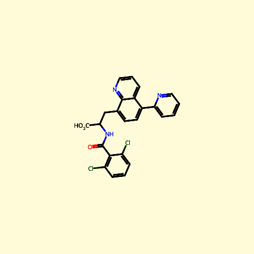 O=C(NC(Cc1ccc(-c2ccccn2)c2cccnc12)C(=O)O)c1c(Cl)cccc1Cl